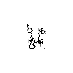 CCN(CC)CCCC(C)Nc1nc(C=Cc2ccc(F)cc2)nc2ccccc12